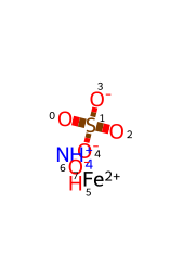 O=S(=O)([O-])[O-].[Fe+2].[NH4+].[OH-]